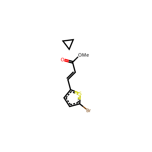 C1CC1.COC(=O)C=Cc1ccc(Br)s1